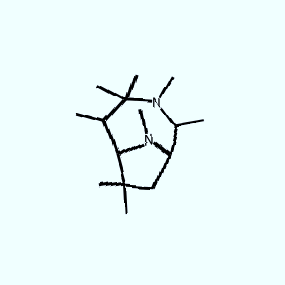 CC1C2CC(C)(C)C(C(C)C(C)(C)N1C)N2C